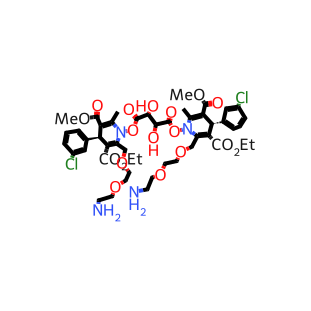 CCOC(=O)C1=C(COCCOCCN)N(OC(=O)C(O)C(O)C(=O)ON2C(C)=C(C(=O)OC)[C@H](c3cccc(Cl)c3)C(C(=O)OCC)=C2COCCOCCN)C(C)=C(C(=O)OC)[C@@H]1c1cccc(Cl)c1